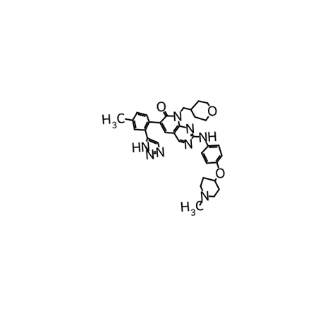 Cc1ccc(-c2cc3cnc(Nc4ccc(OC5CCN(C)CC5)cc4)nc3n(CC3CCOCC3)c2=O)c(-c2cnn[nH]2)c1